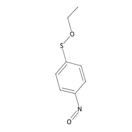 CCOSc1ccc(N=O)cc1